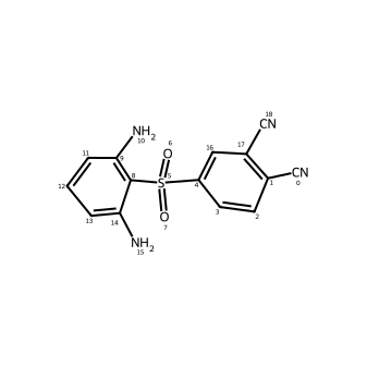 N#Cc1ccc(S(=O)(=O)c2c(N)cccc2N)cc1C#N